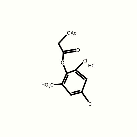 CC(=O)OCC(=O)Oc1c(Cl)cc(Cl)cc1C(=O)O.Cl